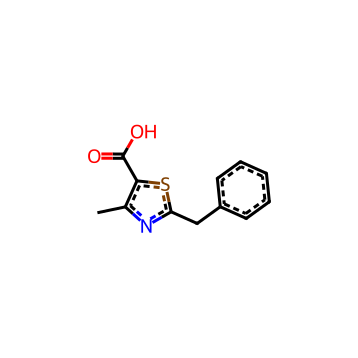 Cc1nc(Cc2ccccc2)sc1C(=O)O